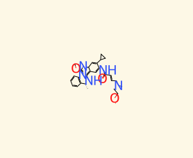 COCCN(C)CC=CC(=O)Nc1cc2c(N[C@H](C)c3ccccc3)nc(OC)nc2cc1C1CC1